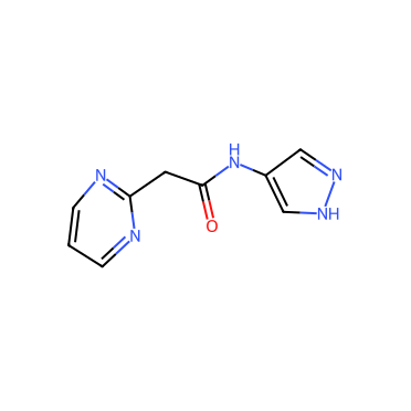 O=C(Cc1ncccn1)Nc1cn[nH]c1